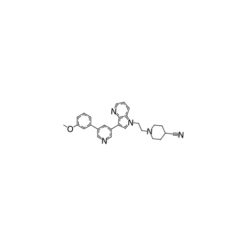 COc1cccc(-c2cncc(-c3cn(CCN4CCC(C#N)CC4)c4cccnc34)c2)c1